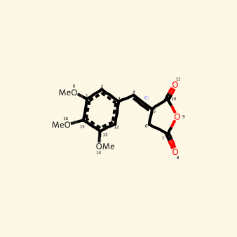 COc1cc(/C=C2\CC(=O)OC2=O)cc(OC)c1OC